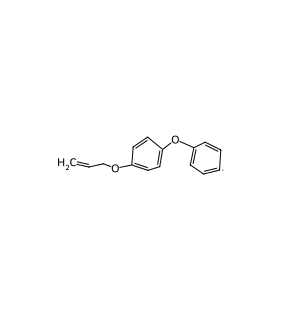 C=CCOc1ccc(Oc2cc[c]cc2)cc1